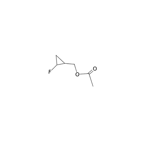 CC(=O)OCC1CC1F